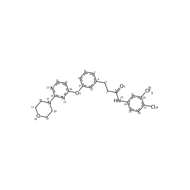 O=C(CCc1cccc(Oc2ccnc(N3CCOCC3)n2)c1)Nc1ccc(Cl)c(C(F)(F)F)c1